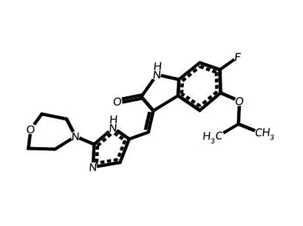 CC(C)Oc1cc2c(cc1F)NC(=O)C2=Cc1cnc(N2CCOCC2)[nH]1